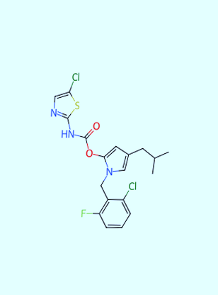 CC(C)Cc1cc(OC(=O)Nc2ncc(Cl)s2)n(Cc2c(F)cccc2Cl)c1